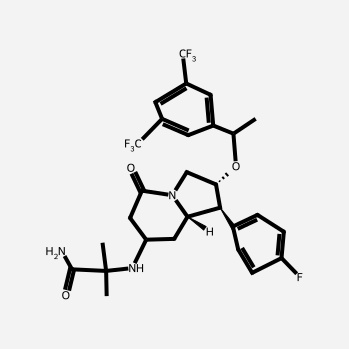 CC(O[C@H]1CN2C(=O)CC(NC(C)(C)C(N)=O)C[C@H]2[C@@H]1c1ccc(F)cc1)c1cc(C(F)(F)F)cc(C(F)(F)F)c1